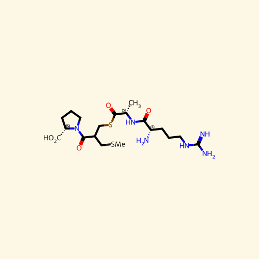 CSCC(CSC(=O)[C@H](C)NC(=O)[C@@H](N)CCCNC(=N)N)C(=O)N1CCC[C@H]1C(=O)O